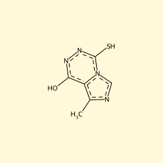 Cc1ncn2c(S)nnc(O)c12